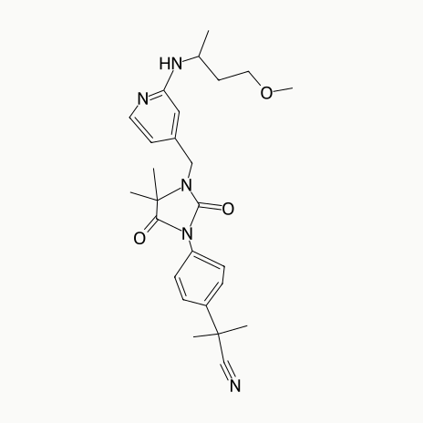 COCCC(C)Nc1cc(CN2C(=O)N(c3ccc(C(C)(C)C#N)cc3)C(=O)C2(C)C)ccn1